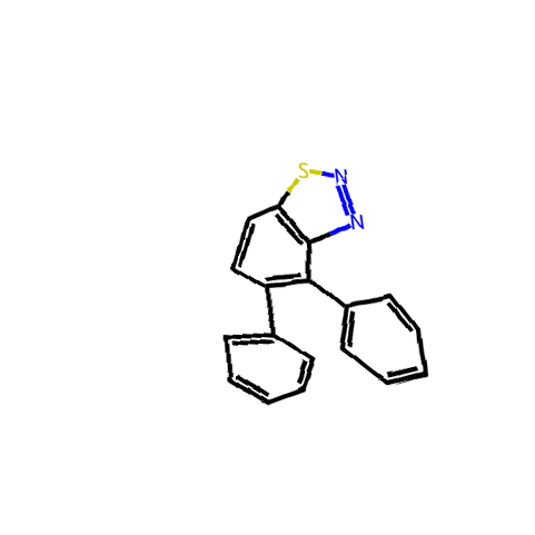 c1ccc(-c2ccc3snnc3c2-c2ccccc2)cc1